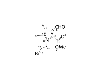 COC(=O)c1c(C=O)c(C)c(C)n1CCBr